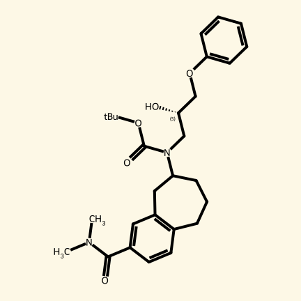 CN(C)C(=O)c1ccc2c(c1)CC(N(C[C@H](O)COc1ccccc1)C(=O)OC(C)(C)C)CCC2